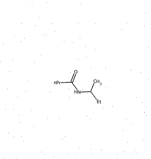 [CH2]CCC(=O)NC(C)CC